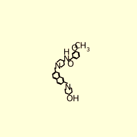 COc1cccc(C(=O)NC2CCN(Cc3ccc4ccc(CN5CCC(O)CC5)cc4c3)CC2)c1